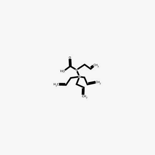 C=CCN(C(=O)O)[Si](CC=C)(CC=C)CC=C